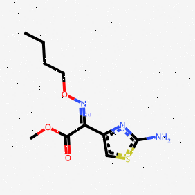 CCCCO/N=C(\C(=O)OC)c1csc(N)n1